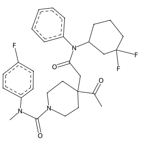 CC(=O)C1(CC(=O)N(c2ccccc2)C2CCCC(F)(F)C2)CCN(C(=O)N(C)c2ccc(F)cc2)CC1